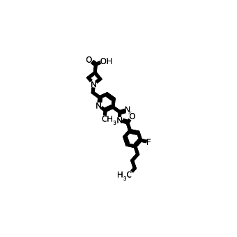 CCCCc1ccc(-c2nc(-c3ccc(CN4CC(C(=O)O)C4)nc3C)no2)cc1F